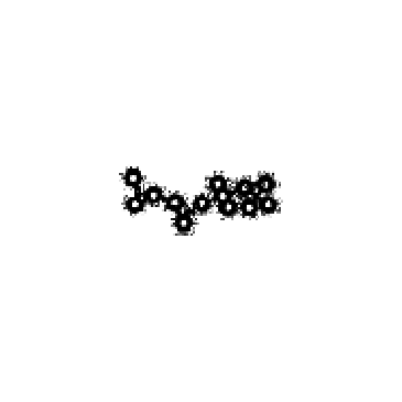 c1ccc(-n2c3ccccc3c3cc(-c4ccc5c(c4)c4ccccc4n5-c4ccc(-c5c6ccccc6c(-c6ccc7c(c6)C(c6ccccc6)(c6ccccc6)c6ccccc6-7)c6ccccc56)cc4)ccc32)cc1